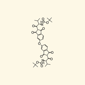 CC(C)[C@@H](NC(=O)OC(C)(C)C)C(=O)C1C(=O)c2ccc(Oc3ccc4c(c3)C(=O)C(C(=O)[C@H](NC(=O)OC(C)(C)C)C(C)C)C4=O)cc2C1=O